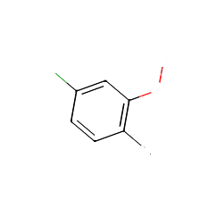 O=[N+]([O-])c1ccc(Cl)cc1OBr